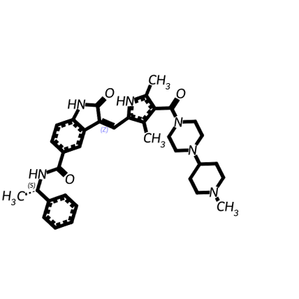 Cc1[nH]c(/C=C2\C(=O)Nc3ccc(C(=O)N[C@@H](C)c4ccccc4)cc32)c(C)c1C(=O)N1CCN(C2CCN(C)CC2)CC1